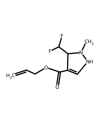 C=CCOC(=O)C1=CNN(C)C1C(F)F